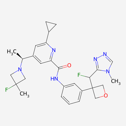 C[C@@H](c1cc(C(=O)Nc2cccc(C3(C(F)c4nncn4C)COC3)c2)nc(C2CC2)c1)N1CC(C)(F)C1